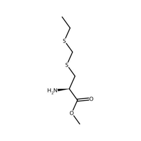 CCSCSC[C@H](N)C(=O)OC